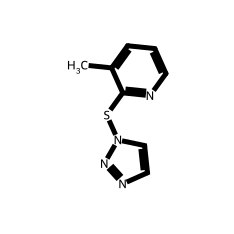 Cc1cccnc1Sn1ccnn1